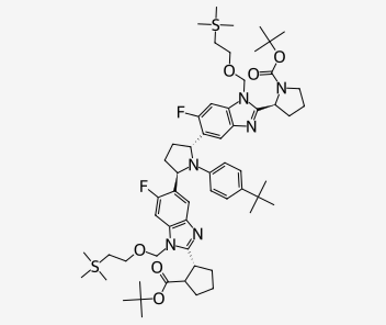 CC(C)(C)OC(=O)C1CCC[C@H]1c1nc2cc([C@H]3CC[C@H](c4cc5nc([C@@H]6CCCN6C(=O)OC(C)(C)C)n(COCCS(C)(C)C)c5cc4F)N3c3ccc(C(C)(C)C)cc3)c(F)cc2n1COCCS(C)(C)C